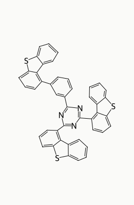 c1cc(-c2nc(-c3cccc4sc5ccccc5c34)nc(-c3cccc4sc5ccccc5c34)n2)cc(-c2cccc3sc4ccccc4c23)c1